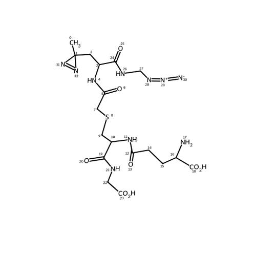 CC1(CC(NC(=O)CSCC(NC(=O)CCC(N)C(=O)O)C(=O)NCC(=O)O)C(=O)NCN=[N+]=[N-])N=N1